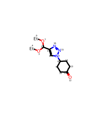 CCOC(OCC)c1cn(C2CCC(=O)CC2)nn1